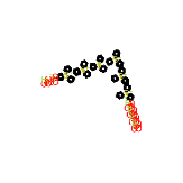 O=S(=O)([O-])F.O=S(=O)([O-])F.O=S(=O)([O-])F.O=S(=O)([O-])F.O=S(=O)([O-])F.O=S(=O)([O-])F.c1ccc([S+](c2ccccc2)c2ccccc2)cc1.c1ccc([S+](c2ccccc2)c2ccccc2)cc1.c1ccc([S+](c2ccccc2)c2ccccc2)cc1.c1ccc([S+](c2ccccc2)c2ccccc2)cc1.c1ccc([S+](c2ccccc2)c2ccccc2)cc1.c1ccc([S+](c2ccccc2)c2ccccc2)cc1